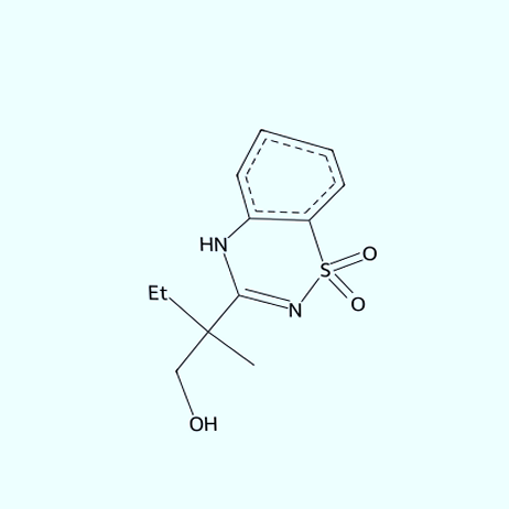 [CH2]CC(C)(CO)C1=NS(=O)(=O)c2ccccc2N1